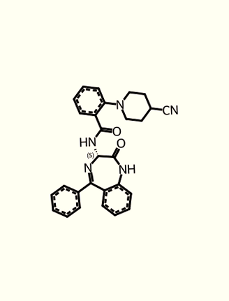 N#CC1CCN(c2ccccc2C(=O)N[C@H]2N=C(c3ccccc3)c3ccccc3NC2=O)CC1